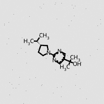 CC(C)[C@H]1CCN(c2ncc(C(C)(C)O)cn2)C1